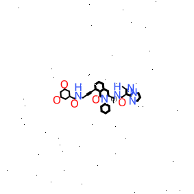 Cc1nn2cccnc2c1C(=O)N[C@@H](C)c1cc2cccc(C#CCNC(=O)C3CC(=O)CC(=O)C3)c2c(=O)n1-c1ccccc1